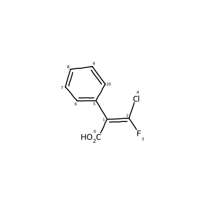 O=C(O)C(=C(F)Cl)c1ccccc1